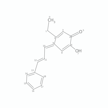 CCC1=CC(=O)C(O)=CC1=CC=Cc1ccccc1